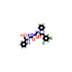 C[C@H](NC(CO)c1ccccc1)C(=O)NC(=O)CN(C(=O)Cc1cc(F)cc(F)c1)c1ccccc1